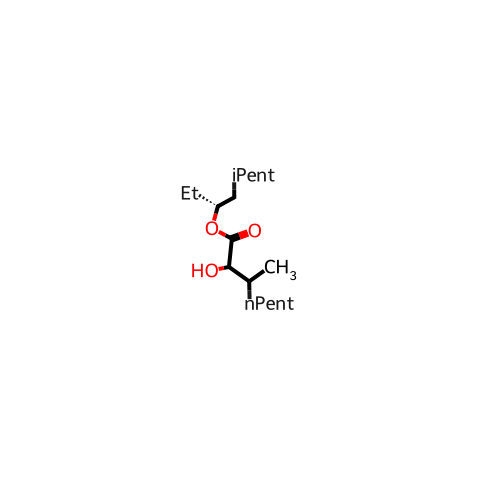 CCCCCC(C)C(O)C(=O)O[C@H](CC)CC(C)CCC